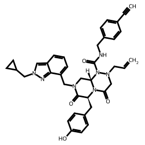 C#Cc1ccc(CNC(=O)N2[C@H]3CN(Cc4cccc5cn(CC6CC6)nc45)C(=O)[C@H](Cc4ccc(O)cc4)N3C(=O)CN2CC=C)cc1